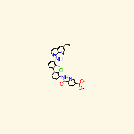 C=Cc1cnc2c(Nc3cccc(-c4cccc(NC(=O)c5ccc(C(OC)OC)cn5)c4Cl)c3C)nccc2c1